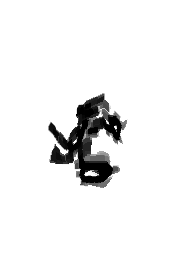 CC(=O)O[C@H]1O[C@@](COCc2ccccc2)(COS(C)(=O)=O)[C@@H](OCc2ccccc2)[C@H]1OC(C)=O